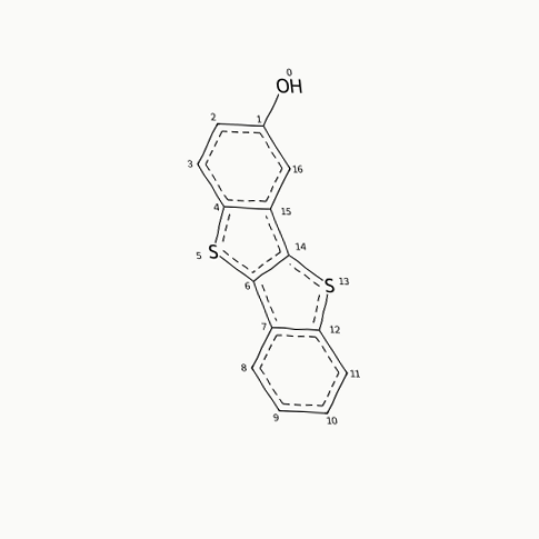 Oc1ccc2sc3c4ccccc4sc3c2c1